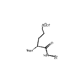 CCCCCCCCCCC(CCCCCC)C(=O)NCC